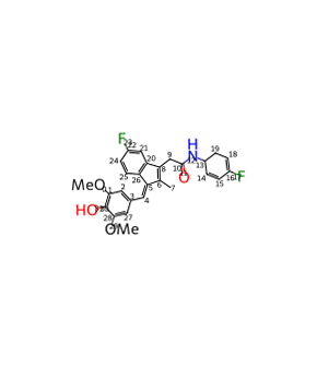 COc1cc(/C=C2/C(C)=C(CC(=O)NC3C=CC(F)=CC3)c3cc(F)ccc32)cc(OC)c1O